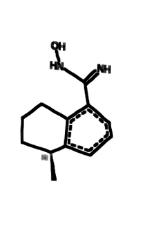 C[C@H]1CCCc2c(C(=N)NO)cccc21